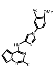 COc1ccc(-n2cnc(Nc3nc(Cl)nn4cccc34)c2)cc1C(C)=O